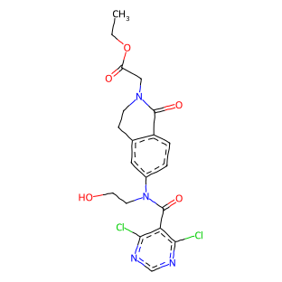 CCOC(=O)CN1CCc2cc(N(CCO)C(=O)c3c(Cl)ncnc3Cl)ccc2C1=O